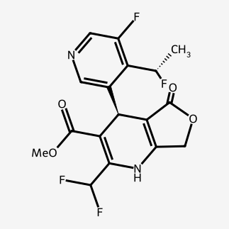 COC(=O)C1=C(C(F)F)NC2=C(C(=O)OC2)[C@@H]1c1cncc(F)c1[C@H](C)F